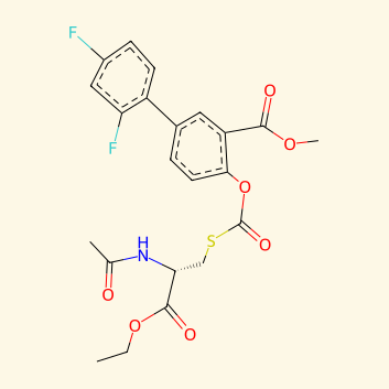 CCOC(=O)[C@@H](CSC(=O)Oc1ccc(-c2ccc(F)cc2F)cc1C(=O)OC)NC(C)=O